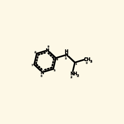 CC(N)Nc1cnccn1